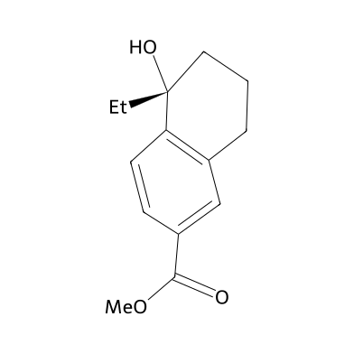 CC[C@@]1(O)CCCc2cc(C(=O)OC)ccc21